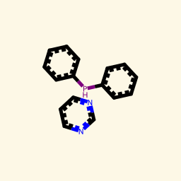 c1ccc(Pc2ccccc2)cc1.c1cncnc1